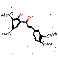 COc1cc(OC)c(Br)c(C(=O)/C=C/c2ccc(OC)c(OC)c2)c1